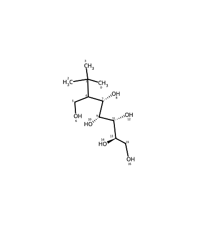 CC(C)(C)C(CO)[C@H](O)[C@@H](O)[C@H](O)[C@H](O)CO